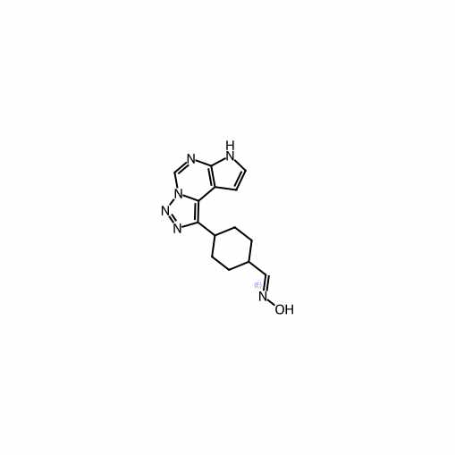 O/N=C/C1CCC(c2nnn3cnc4[nH]ccc4c23)CC1